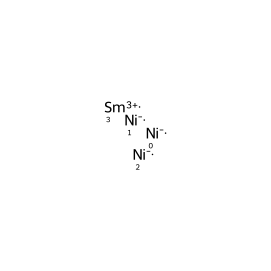 [Ni-].[Ni-].[Ni-].[Sm+3]